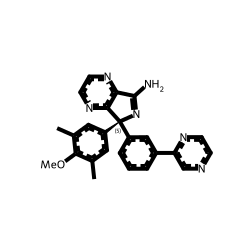 COc1c(C)cc([C@]2(c3cccc(-c4cnccn4)c3)N=C(N)c3nccnc32)cc1C